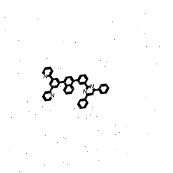 c1ccc(-c2cc(-c3ccccc3)nc(-c3cccc(-c4ccc(-c5cc(-c6ccccn6)cc(-c6ccccn6)c5)c5ccccc45)c3)n2)cc1